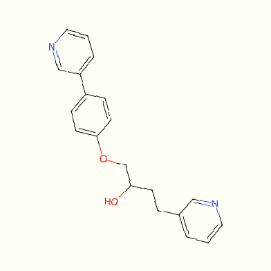 OC(CCc1cccnc1)COc1ccc(-c2cccnc2)cc1